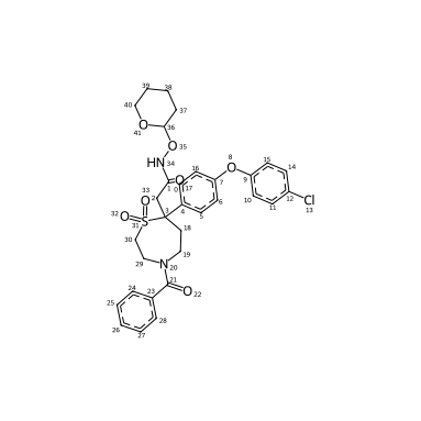 O=C(CC1(c2ccc(Oc3ccc(Cl)cc3)cc2)CCN(C(=O)c2ccccc2)CCS1(=O)=O)NOC1CCCCO1